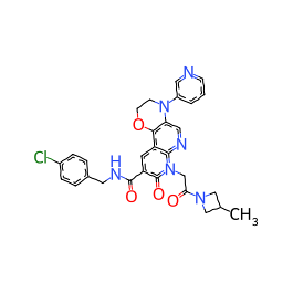 CC1CN(C(=O)Cn2c(=O)c(C(=O)NCc3ccc(Cl)cc3)cc3c4c(cnc32)N(c2cccnc2)CCO4)C1